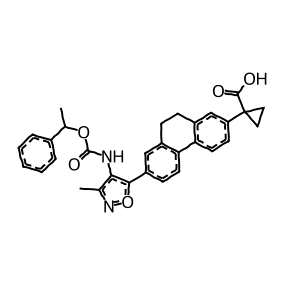 Cc1noc(-c2ccc3c(c2)CCc2cc(C4(C(=O)O)CC4)ccc2-3)c1NC(=O)OC(C)c1ccccc1